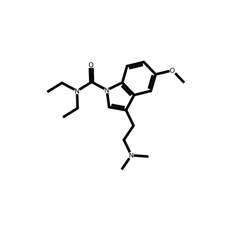 CCN(CC)C(=O)n1cc(CCN(C)C)c2cc(OC)ccc21